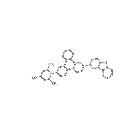 Cc1cc(C)c(-c2ccc3c4ccc(-c5ccc6sc7ccccc7c6c5)cc4c4ccccc4c3c2)c(C)c1